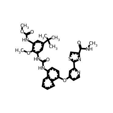 CNC(=O)c1csc(-c2cc(Oc3ccc(NC(=O)Nc4cc(C(C)(C)C)cc(NC(=O)OC)c4OC)c4ccccc34)ccn2)n1